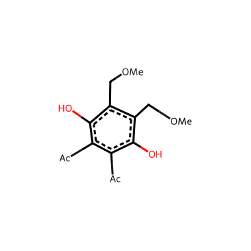 COCc1c(O)c(C(C)=O)c(C(C)=O)c(O)c1COC